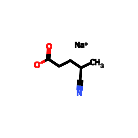 CC(C#N)CCC(=O)[O-].[Na+]